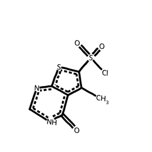 Cc1c(S(=O)(=O)Cl)sc2nc[nH]c(=O)c12